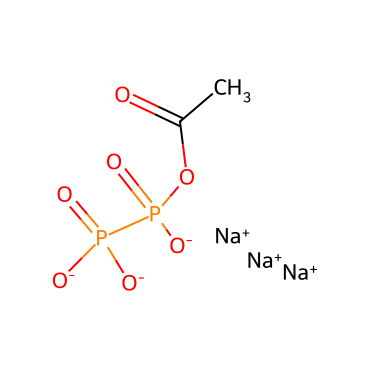 CC(=O)OP(=O)([O-])P(=O)([O-])[O-].[Na+].[Na+].[Na+]